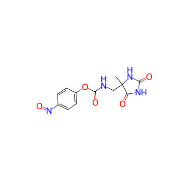 CC1(CNC(=O)Oc2ccc(N=O)cc2)NC(=O)NC1=O